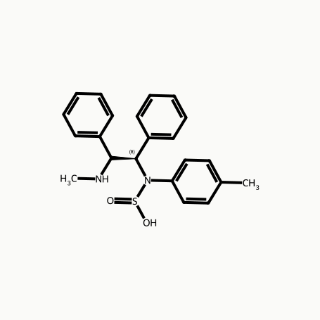 CNC(c1ccccc1)[C@@H](c1ccccc1)N(c1ccc(C)cc1)S(=O)O